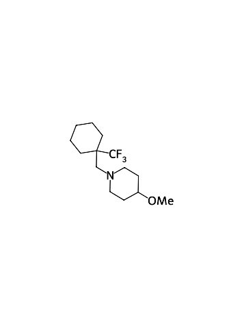 COC1CCN(CC2(C(F)(F)F)CCCCC2)CC1